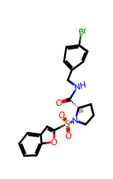 O=C(NCc1ccc(Br)cc1)[C@@H]1CCCN1S(=O)(=O)c1cc2ccccc2o1